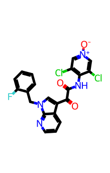 O=C(Nc1c(Cl)c[n+]([O-])cc1Cl)C(=O)c1cn(Cc2ccccc2F)c2ncccc12